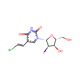 O=c1[nH]c(=O)n([C@@H]2O[C@H](CO)[C@@H](O)[C@H]2I)cc1C=CBr